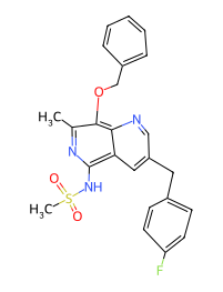 Cc1nc(NS(C)(=O)=O)c2cc(Cc3ccc(F)cc3)cnc2c1OCc1ccccc1